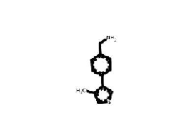 Cc1cscc1-c1ccc(CN)cc1